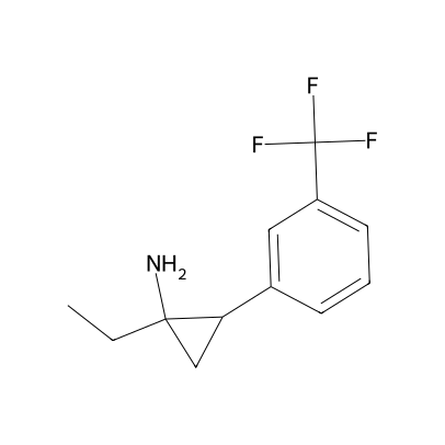 CCC1(N)CC1c1cccc(C(F)(F)F)c1